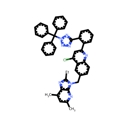 CCc1nc2c(C)cc(C)nc2n1Cc1ccc2nc(-c3ccccc3-c3nnn(C(c4ccccc4)(c4ccccc4)c4ccccc4)n3)cc(Cl)c2c1